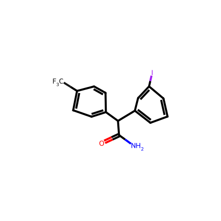 NC(=O)C(c1ccc(C(F)(F)F)cc1)c1cccc(I)c1